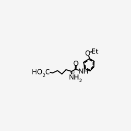 CCOc1cccc(NC(=O)[C@@H](N)CCCCC(=O)O)c1